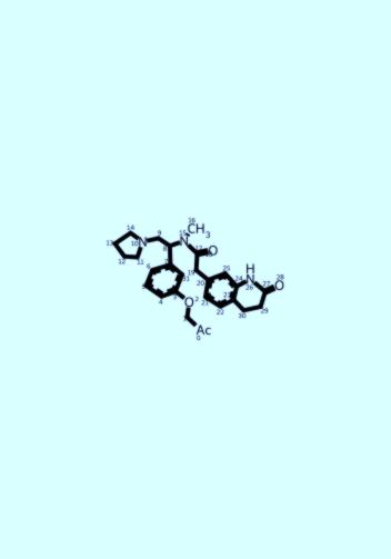 CC(=O)COc1cccc(C(CN2CCCC2)N(C)C(=O)Cc2ccc3c(c2)NC(=O)CC3)c1